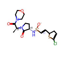 C[C@@H](C(=O)N1CCOCC1)N1CC[C@H](N[S+]([O-])/C=C/C2CC=C(Cl)S2)C1=O